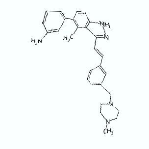 Cc1c(-c2cccc(N)c2)ccc2[nH]nc(/C=C/c3cccc(CN4CCN(C)CC4)c3)c12